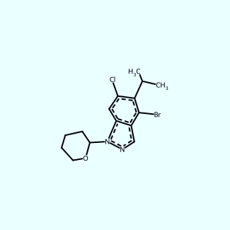 CC(C)c1c(Cl)cc2c(cnn2C2CCCCO2)c1Br